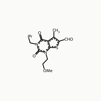 COCCn1c(=O)n(CC(C)C)c(=O)c2c(C)c(C=O)sc21